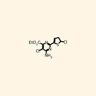 CCOC(=O)c1nc(C2=CCC(Cl)S2)nc(N)c1Cl